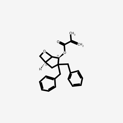 C=C(C)C(=O)O[C@@H]1C2OC[C@@H]2CC1(Cc1ccccc1)Cc1ccccc1